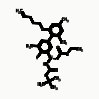 C=CCCCOc1cc(C)cc(C)c1-c1cc(C)c(F)c([C@H](CC(=O)OCC)NC(=O)OC(C)(C)C)c1